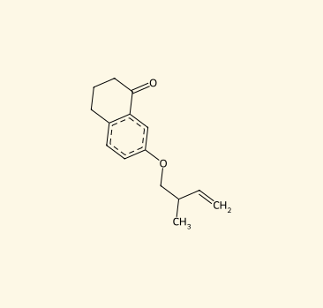 C=CC(C)COc1ccc2c(c1)C(=O)CCC2